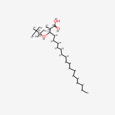 CCCCCCCCCCCCCCCCCC(O[Si](C)(C)C(C)(C)C)[C@@H](C)C(=O)O